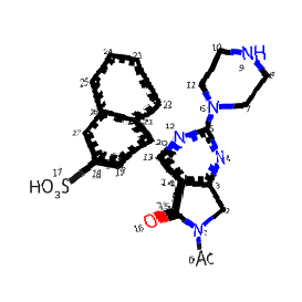 CC(=O)N1Cc2nc(N3CCNCC3)ncc2C1=O.O=S(=O)(O)c1ccc2ccccc2c1